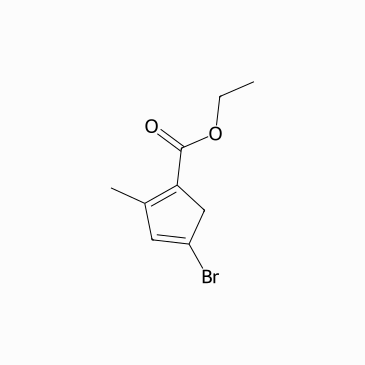 CCOC(=O)C1=C(C)C=C(Br)C1